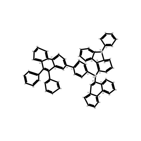 c1ccc(-c2c(-c3ccccc3)c3cc(-c4ccc(N(c5cc6ccccc6c6ccccc56)c5cccc6c5c5ccccc5n6-c5ccccc5)cc4)ccc3c3ccccc23)cc1